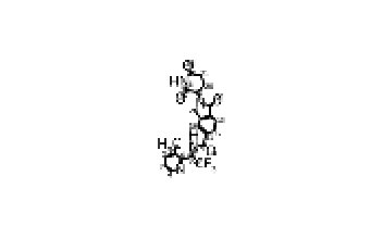 Cc1cccnc1[C@@H](NC(=O)c1ccc2c(c1)CN(C1CCC(=O)NC1=O)C2=O)C(F)(F)F